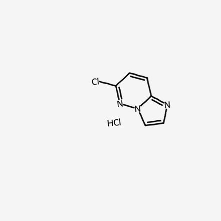 Cl.Clc1ccc2nccn2n1